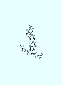 CC(C)(C)c1ccc(C(=O)NC(Cc2ccc(-c3ncc(-c4ccc(O)cc4F)cn3)cc2)C(=O)N2CC(C(=O)O)C2)s1